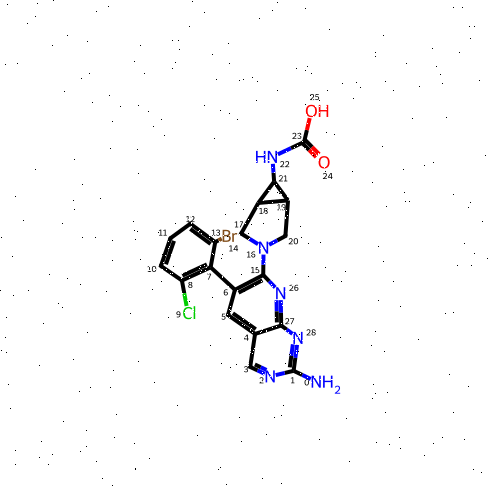 Nc1ncc2cc(-c3c(Cl)cccc3Br)c(N3CC4C(C3)C4NC(=O)O)nc2n1